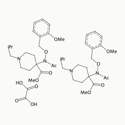 COC(=O)C1(N(OCc2ccccc2OC)C(C)=O)CCN(CC(C)C)CC1.COC(=O)C1(N(OCc2ccccc2OC)C(C)=O)CCN(CC(C)C)CC1.O=C(O)C(=O)O